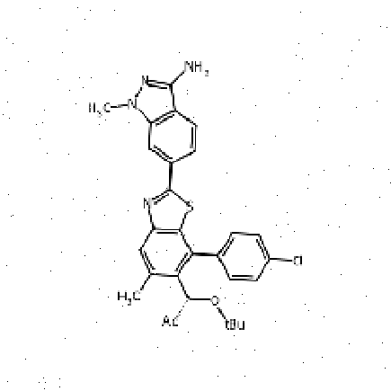 CC(=O)[C@@H](OC(C)(C)C)c1c(C)cc2nc(-c3ccc4c(N)nn(C)c4c3)sc2c1-c1ccc(Cl)cc1